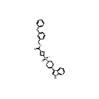 O=C(OCc1cccc(Oc2ccccc2)c1)N1CC(S(=O)(=O)N2CCC(c3c[nH]c4ncccc34)CC2)C1